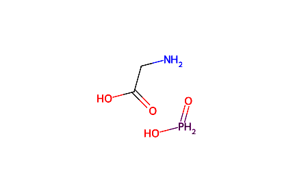 NCC(=O)O.O=[PH2]O